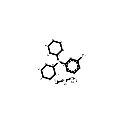 Fc1cccc(P(C2CCCCC2)C2CCCCC2)c1.[CH3][Pd][Cl]